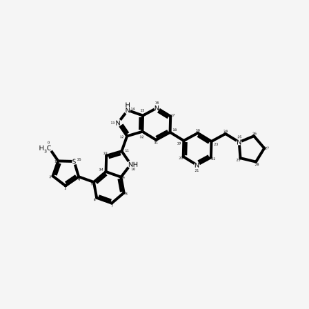 Cc1ccc(-c2cccc3[nH]c(-c4n[nH]c5ncc(-c6cncc(CN7CCCC7)c6)cc45)cc23)s1